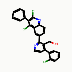 OCc1c(-c2ccccc2Cl)ccnc1-c1ccc2nc(Cl)c(-c3ccccc3)c(Cl)c2c1